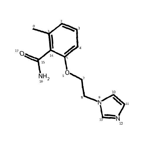 Cc1cccc(OCCn2ccnc2)c1C(N)=O